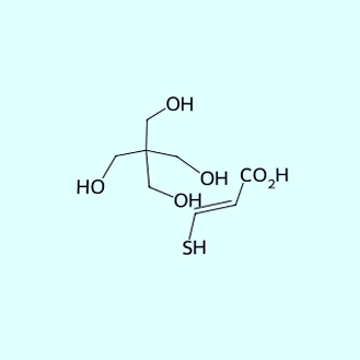 O=C(O)C=CS.OCC(CO)(CO)CO